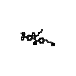 CCCCc1oc2cc(C(=O)OC)ccc2c1C(=O)c1ccc(CCCBr)cc1